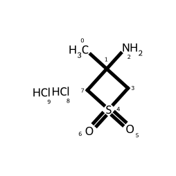 CC1(N)CS(=O)(=O)C1.Cl.Cl